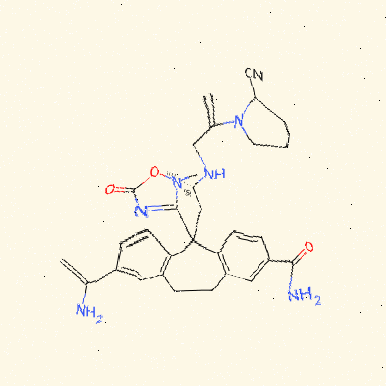 C=C(N)c1ccc2c(c1)CCc1cc(C(N)=O)ccc1C2(C[C@H](C)NCC(=C)N1CCCC1C#N)c1nc(=O)on1C